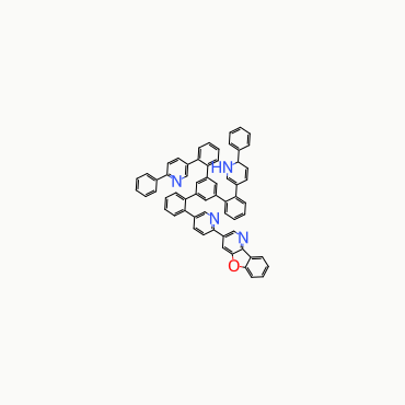 C1=CC(c2ccccc2)NC=C1c1ccccc1-c1cc(-c2ccccc2-c2ccc(-c3ccccc3)nc2)cc(-c2ccccc2-c2ccc(-c3cnc4c(c3)oc3ccccc34)nc2)c1